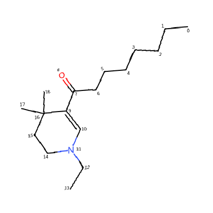 CCCCCCCC(=O)C1=CN(CC)CCC1(C)C